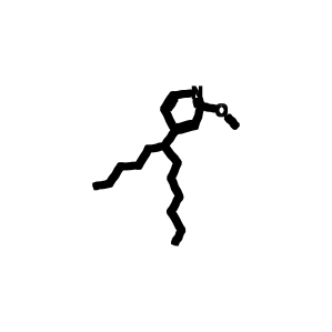 CCCCCCC(CCCCC)c1ccnc(OC)c1